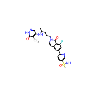 CC(CCCn1ccc2cc(-c3ccc(S(C)(=N)=O)cn3)cc(F)c2c1=O)Nc1cn[nH]c(=O)c1C(F)(F)F